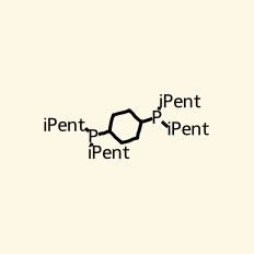 CCCC(C)P(C(C)CCC)C1CCC(P(C(C)CCC)C(C)CCC)CC1